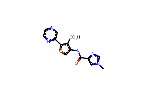 Cn1cnc(C(=O)Nc2csc(-c3cnccn3)c2C(=O)O)c1